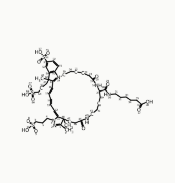 CC1=NN(CCCS(=O)(=O)O)/C2=C/C=C/C=C/C3=[N+](CCCCCC(=O)NC(C(=O)NCCCCCC(=O)O)CCCCNC(=O)CCC12C)c1ccc(S(=O)(=O)O)cc1C3(C)CCCS(=O)(=O)O